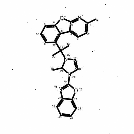 Cc1ccc2c(n1)oc1cccc(C(C)(C)N3C=CN(c4nc5ccccc5o4)C3C)c12